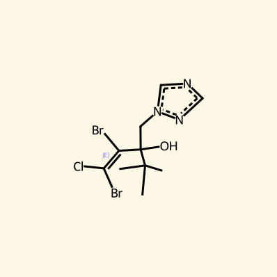 CC(C)(C)C(O)(Cn1cncn1)/C(Br)=C(/Cl)Br